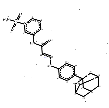 NS(=O)(=O)c1cccc(NC(=O)/C=C/Oc2ccc(C34CC5CC(CC(C5)C3)C4)cc2)c1